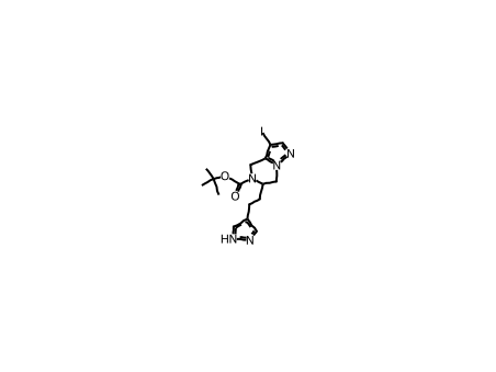 CC(C)(C)OC(=O)N1Cc2c(I)cnn2CC1CCc1cn[nH]c1